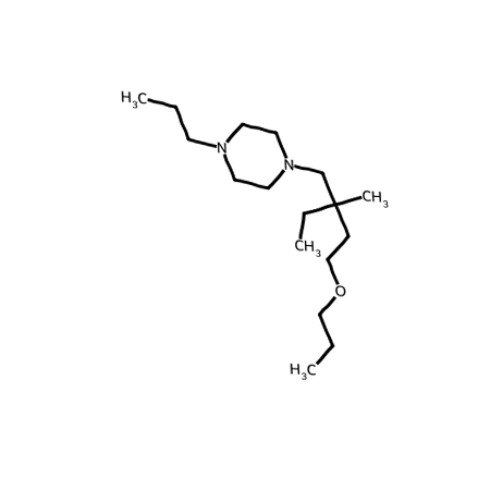 CCCOCCC(C)(CC)CN1CCN(CCC)CC1